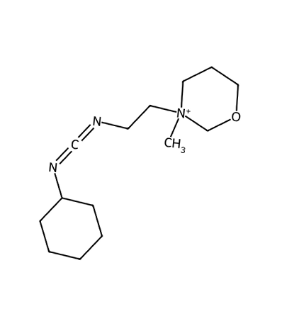 C[N+]1(CCN=C=NC2CCCCC2)CCCOC1